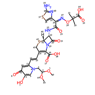 COC(Cn1cc(O)c(=O)cc1C=CC1=C(C(=O)O)N2C(=O)[C@@H](NC(=O)/C(=N\OC(C)(C)C(=O)O)c3csc(N)n3)[C@H]2SC1)OC